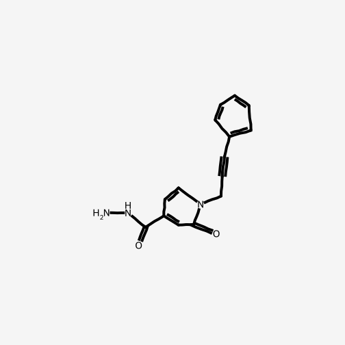 NNC(=O)c1ccn(CC#Cc2ccccc2)c(=O)c1